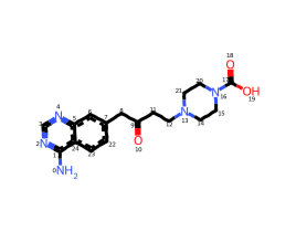 Nc1ncnc2cc(CC(=O)CCN3CCN(C(=O)O)CC3)ccc12